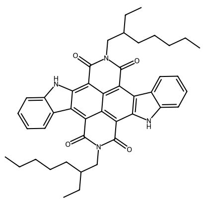 CCCCCC(CC)CN1C(=O)c2c3[nH]c4ccccc4c3c3c4c(c5[nH]c6ccccc6c5c(c24)C1=O)C(=O)N(CC(CC)CCCCC)C3=O